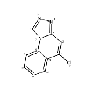 Clc1cc2nncn2c2ccccc12